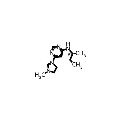 CC[C@@H](C)Nc1cc(N2CCN(C)C2)ncn1